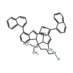 CC1=Cc2c(-c3cccc4ccccc34)cccc2C1C(CC[CH2][Hf][Br])(C1C(C)=Cc2c(-c3cccc4ccccc34)cccc21)[SiH](C)C